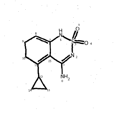 NC1=NS(=O)(=O)NC2=CCCC(C3CC3)=C21